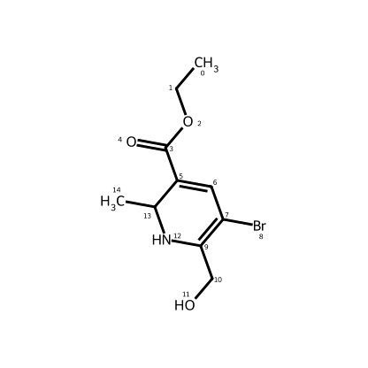 CCOC(=O)C1=CC(Br)=C(CO)NC1C